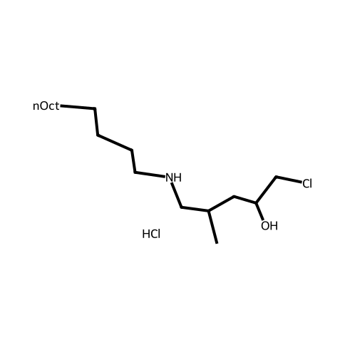 CCCCCCCCCCCCNCC(C)CC(O)CCl.Cl